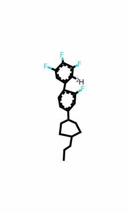 [2H]c1c(-c2ccc(C3CCC(CCC)CC3)cc2F)cc(F)c(F)c1F